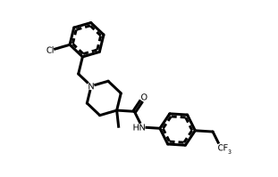 CC1(C(=O)Nc2ccc(CC(F)(F)F)cc2)CCN(Cc2ccccc2Cl)CC1